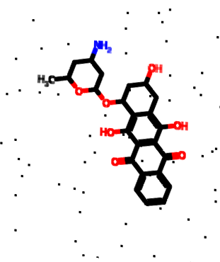 CC1CC(N)CC(OC2CC(O)Cc3c(O)c4c(c(O)c32)C(=O)c2ccccc2C4=O)O1